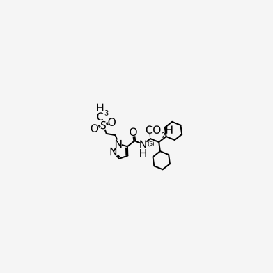 CS(=O)(=O)CCn1nccc1C(=O)N[C@H](C(=O)O)C(C1CCCCC1)C1CCCCC1